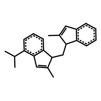 CC1=Cc2ccccc2C1CC1C(C)=Cc2c(C(C)C)cccc21